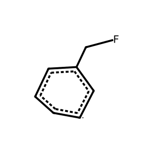 FCc1c[c]ccc1